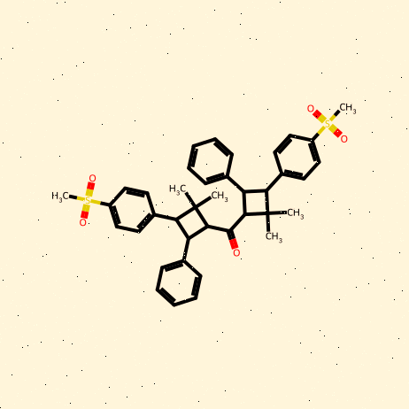 CC1(C)C(C(=O)C2C(c3ccccc3)C(c3ccc(S(C)(=O)=O)cc3)C2(C)C)C(c2ccccc2)C1c1ccc(S(C)(=O)=O)cc1